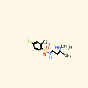 CC(C)(C)C(CCNS(=O)(=O)c1ccc(F)cc1C(F)(F)F)NC(=O)O